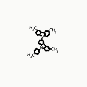 Cc1ccc(-n2c3ccc(C)cc3c3cc(-n4c5ccc(C)cc5c5cc(C)ccc54)ccc32)cc1